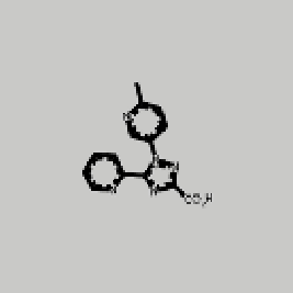 Cc1ccc(-n2nc(C(=O)O)nc2-c2ccccn2)cn1